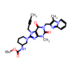 CC#CCn1c(N2CCCC(NC(=O)OC(C)(C)C)C2)nc2c1c(=O)n(Cc1nc3ccccn3c1C)c(=O)n2C